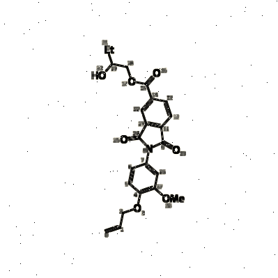 C=CCOc1ccc(N2C(=O)c3ccc(C(=O)OCC(O)CC)cc3C2=O)cc1OC